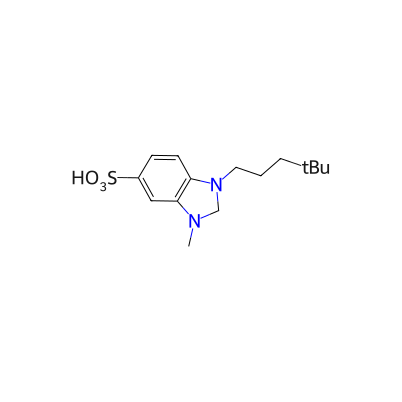 CN1CN(CCCC(C)(C)C)c2ccc(S(=O)(=O)O)cc21